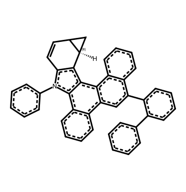 C1=CC2C[C@H]2c2c1n(-c1ccccc1)c1c3ccccc3c3cc(-c4ccccc4-c4ccccc4)c4ccccc4c3c21